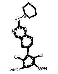 COc1cc(OC)c(Cl)c(-c2ccc3nc(N[C@@H]4[CH]CCCC4)ncc3c2)c1Cl